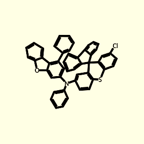 Clc1ccc2c(c1)C1(c3cc(N(c4ccccc4)c4cc(-c5ccccc5)c5c(c4)oc4ccccc45)ccc3S2)c2ccccc2-c2ccccc21